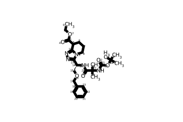 CCOC(=O)C1CCCn2c1nnc2[C@@H](COCc1ccccc1)NC(=O)C(C)(C)NC(=O)OC(C)(C)C